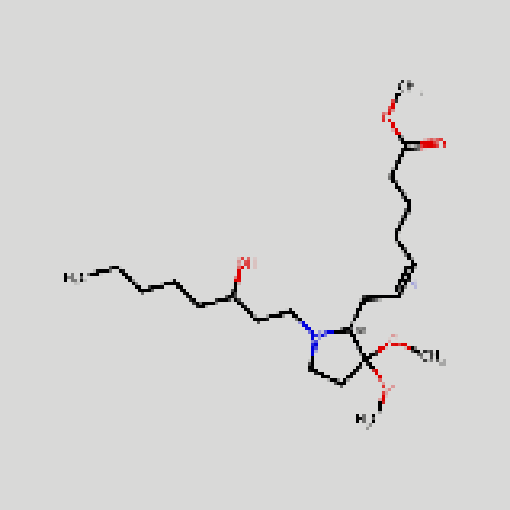 CCCCCC(O)CCN1CCC(OC)(OC)[C@@H]1C/C=C\CCCC(=O)OC